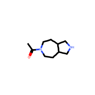 CC(=O)N1CCC2CNCC2CC1